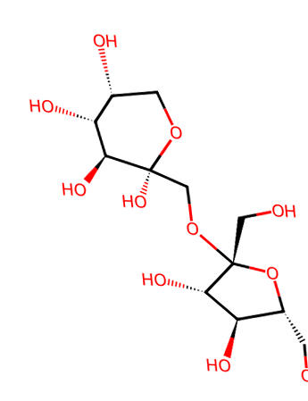 OC[C@H]1O[C@@](CO)(OC[C@]2(O)OC[C@@H](O)[C@@H](O)[C@@H]2O)[C@@H](O)[C@@H]1O